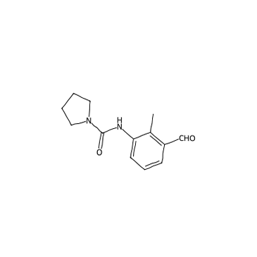 Cc1c(C=O)cccc1NC(=O)N1CCCC1